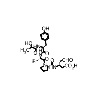 CC(O)C(=O)N[C@@H](Cc1ccc(O)cc1)C(=O)N[C@H](C(=O)N1CCC[C@H]1C(=O)N[C@H](CC=O)CC(=O)O)C(C)C